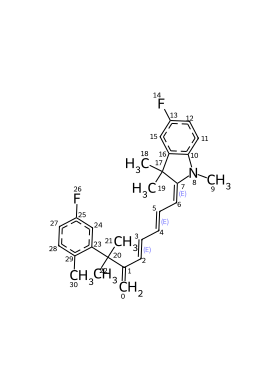 C=C(/C=C/C=C/C=C1/N(C)c2ccc(F)cc2C1(C)C)C(C)(C)c1cc(F)ccc1C